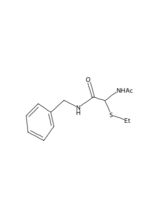 CCSC(NC(C)=O)C(=O)NCc1ccccc1